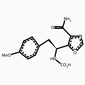 COc1ccc(C[C@H](NC(=O)O)c2ocnc2C(N)=O)cc1